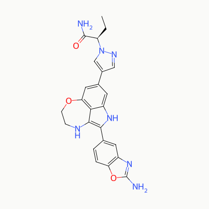 CC[C@H](C(N)=O)n1cc(-c2cc3c4c(c(-c5ccc6oc(N)nc6c5)[nH]c4c2)NCCO3)cn1